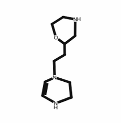 C1=CN(CCC2CNCCO2)CCN1